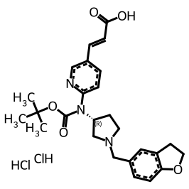 CC(C)(C)OC(=O)N(c1ccc(C=CC(=O)O)cn1)[C@@H]1CCN(Cc2ccc3c(c2)CCO3)C1.Cl.Cl